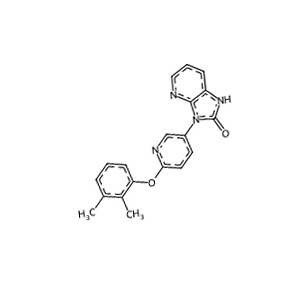 Cc1cccc(Oc2ccc(-n3c(=O)[nH]c4cccnc43)cn2)c1C